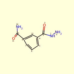 NNC(=O)c1cccc(C(N)=O)c1